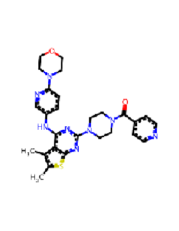 Cc1sc2nc(N3CCN(C(=O)c4ccncc4)CC3)nc(Nc3ccc(N4CCOCC4)nc3)c2c1C